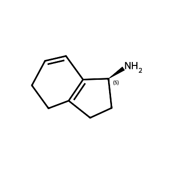 N[C@H]1CCC2=C1C=CCC2